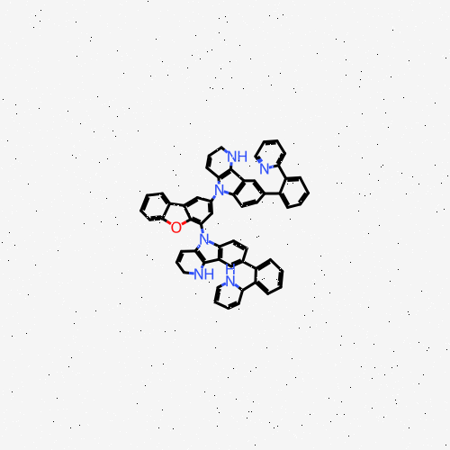 C1=CNC(c2ccccc2-c2ccc3c(c2)c2c(n3-c3cc(-n4c5c(c6cc(-c7ccccc7-c7ccccn7)ccc64)NCC=C5)cc4c3oc3ccccc34)C=CCN2)C=C1